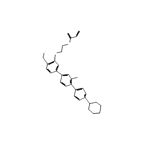 C=CC(=O)OCCOc1cc(-c2ccc(-c3ccc(C4CCCCC4)cc3)c(F)c2)ccc1CO